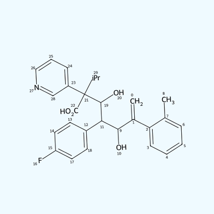 C=C(c1ccccc1C)C(O)C(c1ccc(F)cc1)C(O)C(C(=O)O)(c1cccnc1)C(C)C